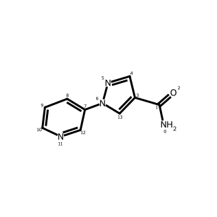 NC(=O)c1cnn(-c2cccnc2)c1